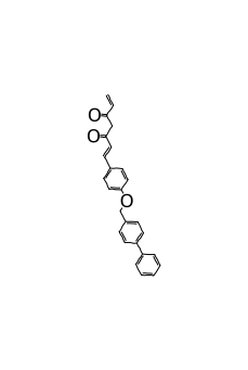 C=CC(=O)CC(=O)C=Cc1ccc(OCc2ccc(-c3ccccc3)cc2)cc1